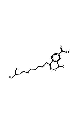 CC(C)CCCCCCCOC(=O)c1ccc(C(=O)O)cc1C(=O)O